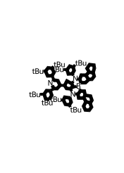 CC(C)(C)c1cc(-c2cc(-c3cc4c5c(c3)N(c3cc(C(C)(C)C)cc(C(C)(C)C)c3)c3cc6c(ccc7ccccc76)cc3B5c3cc5ccc6ccccc6c5cc3N4c3cc(C(C)(C)C)cc(C(C)(C)C)c3)cc(-c3cc(C(C)(C)C)cc(C(C)(C)C)c3)n2)cc(C(C)(C)C)c1